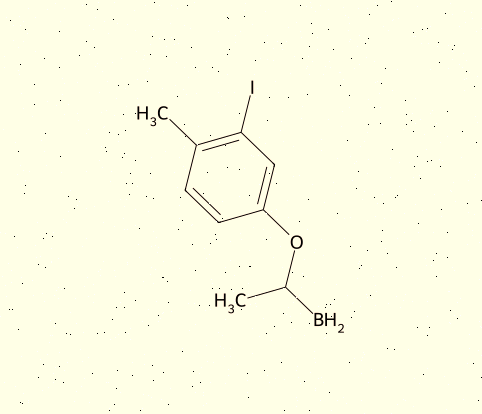 BC(C)Oc1ccc(C)c(I)c1